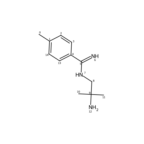 Cc1ccc(C(=N)NCC(C)(C)N)cc1